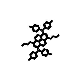 CCCCc1cc(N(c2ccc(C)cc2)c2ccc(C)cc2)c2ccc3c(CCCC)cc(N(c4ccc(C)cc4)c4ccc(C)cc4)c4ccc1c2c34